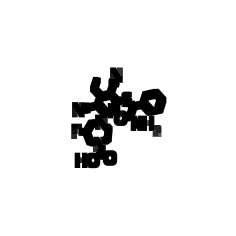 CCc1c(C#N)c(SC(C(N)=O)c2ccccc2)nc(N2CCN(C(=O)O)CC(F)C2)c1C#N